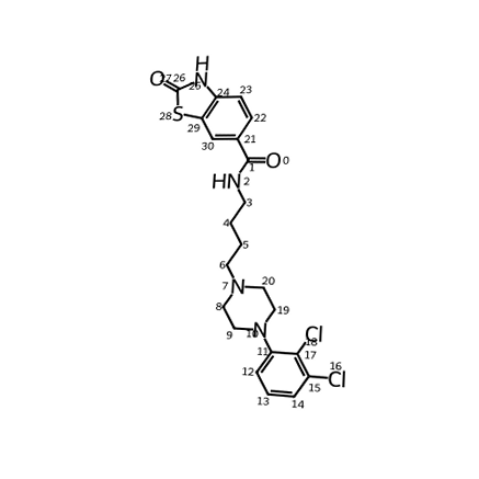 O=C(NCCCCN1CCN(c2cccc(Cl)c2Cl)CC1)c1ccc2[nH]c(=O)sc2c1